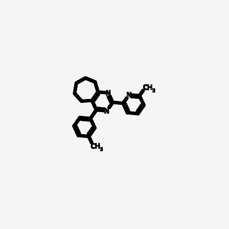 Cc1cccc(-c2nc(-c3cccc(C)n3)nc3c2CCCCC3)c1